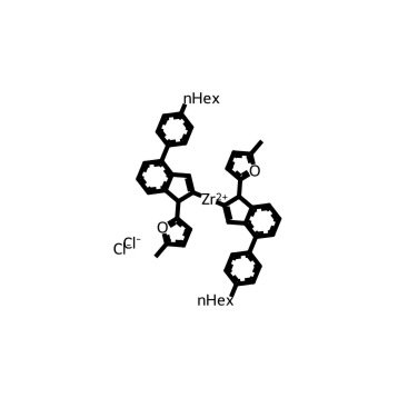 CCCCCCc1ccc(-c2cccc3c2C=[C]([Zr+2][C]2=Cc4c(-c5ccc(CCCCCC)cc5)cccc4C2c2ccc(C)o2)C3c2ccc(C)o2)cc1.[Cl-].[Cl-]